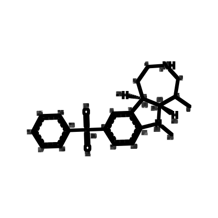 CC1CNCC[C@@H]2c3cc(S(=O)(=O)c4ccccc4)ccc3N(C)[C@@H]12